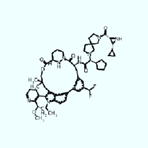 CCn1c(C2=C([C@H](C)OC)N=CCC2)c2c3cc(ccc31)-c1cc(cc(C(F)F)c1)C[C@H](NC(=O)[C@H](C1CCCC1)N1CC[C@]3(CCN(C(=O)[C@@H]4N[C@@H]4C4CC4)C3)C1)C(=O)N1CCC[C@H](N1)C(=O)OCC(C)(C)C2